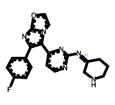 Fc1ccc(-c2nc3occn3c2-c2ccnc(/N=C3/CCCNC3)n2)cc1